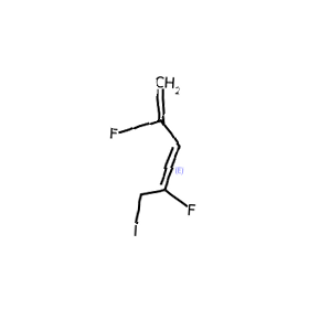 C=C(F)/C=C(/F)CI